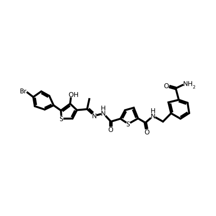 C/C(=N\NC(=O)c1ccc(C(=O)NCc2cccc(C(N)=O)c2)s1)c1csc(-c2ccc(Br)cc2)c1O